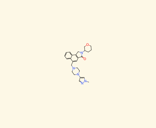 Cn1cc(N2CCN(Cc3cc4c(c5ccccc35)CN(C3CCCOC3)C4=O)CC2)cn1